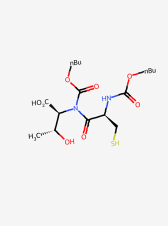 CCCCOC(=O)N[C@@H](CS)C(=O)N(C(=O)OCCCC)[C@H](C(=O)O)[C@@H](C)O